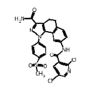 CS(=O)(=O)c1ccc(-n2nc(C(N)=O)c3c2-c2cc(NC(=O)c4cc(Cl)cnc4Cl)ccc2CC3)cc1